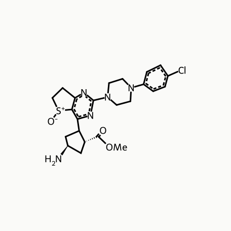 COC(=O)[C@@H]1C[C@@H](N)CC1c1nc(N2CCN(c3ccc(Cl)cc3)CC2)nc2c1[S+]([O-])CC2